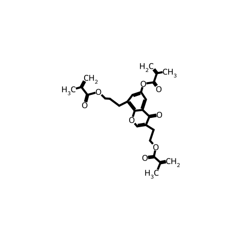 C=C(C)C(=O)OCCCc1cc(OC(=O)C(=C)C)cc2c(=O)c(CCOC(=O)C(=C)C)coc12